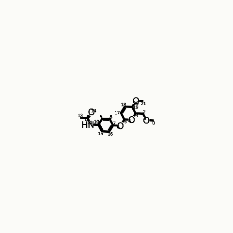 COCC1OC(Oc2ccc(NC(C)=O)cc2)C=CC1OC